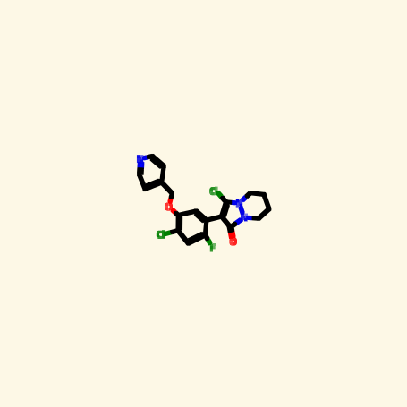 O=c1c(-c2cc(OCc3ccncc3)c(Cl)cc2F)c(Cl)n2n1CCCC2